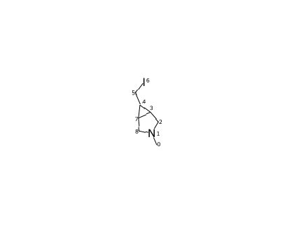 CN1CC2C(CI)C2C1